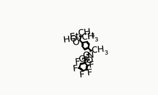 CCC(C)(C)C(OO)c1ccc(/C(C)=N\OS(=O)(=O)c2c(F)c(F)c(F)c(F)c2F)cc1